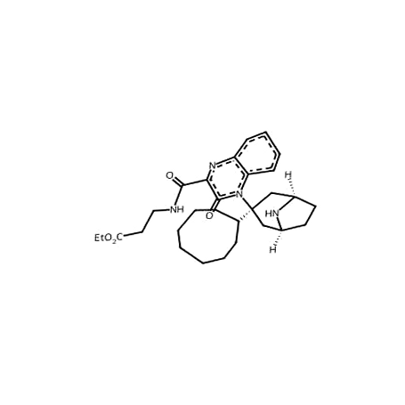 CCOC(=O)CCNC(=O)c1nc2ccccc2n([C@@]2(C3CCCCCCC3)C[C@H]3CC[C@@H](C2)N3)c1=O